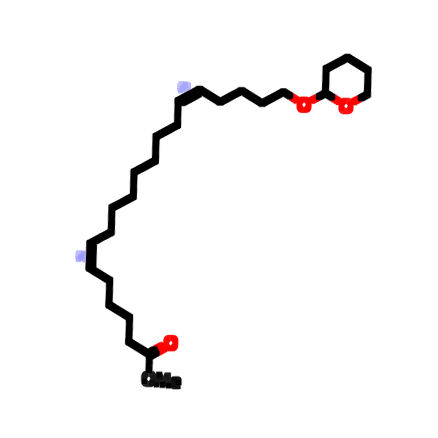 COC(=O)CCCC/C=C\CCCCCCC/C=C\CCCCOC1CCCCO1